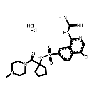 CN1CCN(C(=O)C2(NS(=O)(=O)c3ccc4c(Cl)cnc(NC(=N)N)c4c3)CCCC2)CC1.Cl.Cl